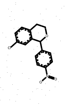 O=[N+]([O-])c1ccc(C2OCCc3ccc(Cl)cc32)cc1